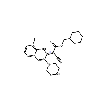 N#C/C(C(=O)OCC1CCCCC1)=C1/Nc2c(F)cccc2N=C1N1CCNCC1